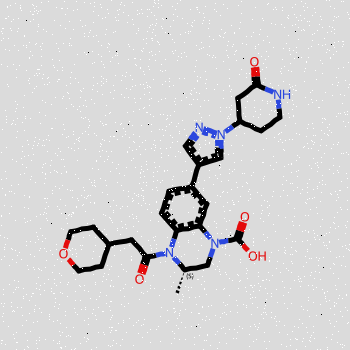 C[C@H]1CN(C(=O)O)c2cc(-c3cnn(C4CCNC(=O)C4)c3)ccc2N1C(=O)CC1CCOCC1